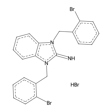 Br.N=c1n(Cc2ccccc2Br)c2ccccc2n1Cc1ccccc1Br